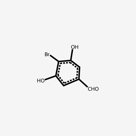 O=Cc1cc(O)c(Br)c(O)c1